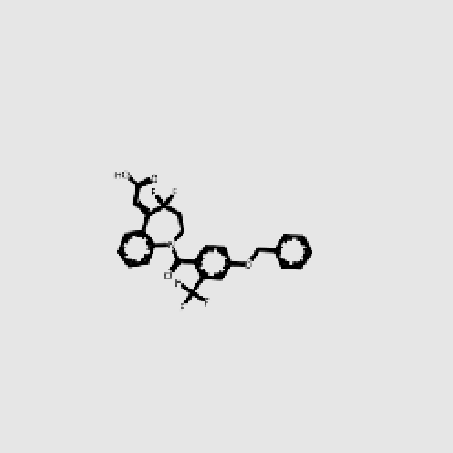 O=C(O)/C=C1/c2ccccc2N(C(=O)c2ccc(OCc3ccccc3)cc2C(F)(F)F)CCC1(F)F